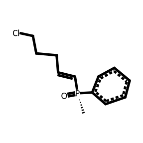 C[P@](=O)(/C=C/CCCCl)c1ccccc1